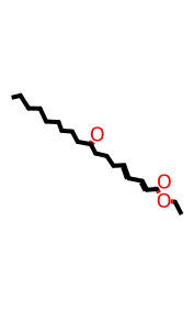 CCCCCCCCCC(=O)CCCC=CC=CC(=O)OCC